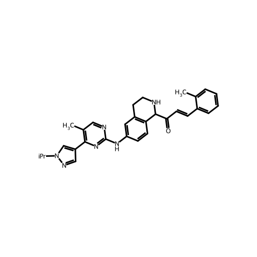 Cc1ccccc1C=CC(=O)C1NCCc2cc(Nc3ncc(C)c(-c4cnn(C(C)C)c4)n3)ccc21